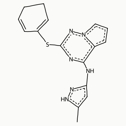 Cc1cc(Nc2nc(SC3=CCCC=C3)nn3cccc23)n[nH]1